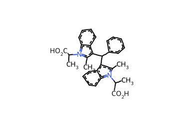 Cc1c(C(c2ccccc2)c2c(C)n(C(C)C(=O)O)c3ccccc23)c2ccccc2n1C(C)C(=O)O